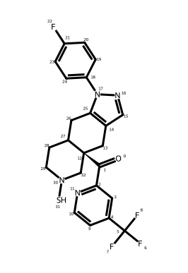 O=C(c1cc(C(F)(F)F)ccn1)[C@]12Cc3cnn(-c4ccc(F)cc4)c3CC1CCN(S)C2